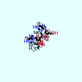 C=CCOP(=O)(OCCC#N)OC1C(COP(=O)(OCCC#N)OC2CC(n3cnc4c(=O)[nH]cnc43)OC2CO)OC(n2cnc3c(=O)[nH]cnc32)[C@@H]1F